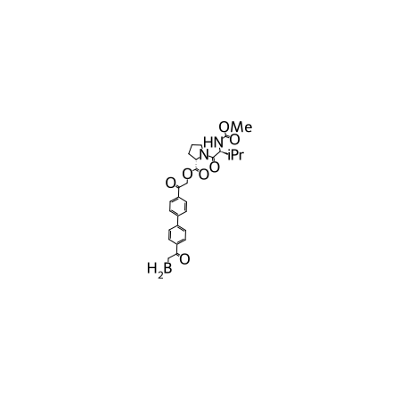 BCC(=O)c1ccc(-c2ccc(C(=O)COC(=O)[C@@H]3CCCN3C(=O)[C@@H](NC(=O)OC)C(C)C)cc2)cc1